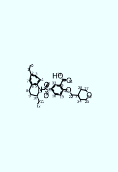 CCc1ccc2c(c1)CC[C@H](CC)N2S(=O)(=O)c1ccc(OCC2CCOCC2)c(C(=O)O)c1